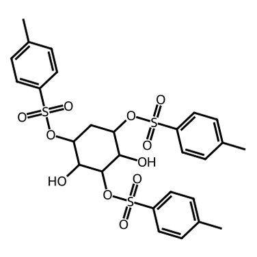 Cc1ccc(S(=O)(=O)OC2CC(OS(=O)(=O)c3ccc(C)cc3)C(O)C(OS(=O)(=O)c3ccc(C)cc3)C2O)cc1